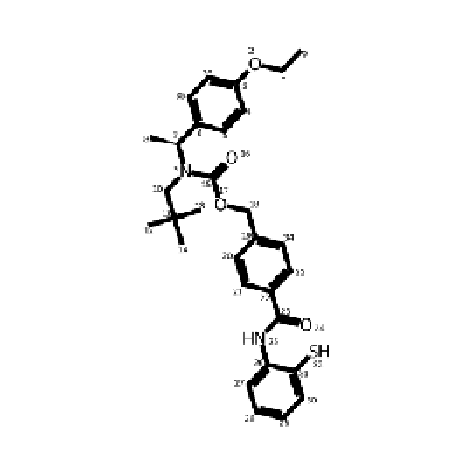 CCOc1ccc([C@H](C)N(CC(C)(C)C)C(=O)OCc2ccc(C(=O)Nc3ccccc3S)cc2)cc1